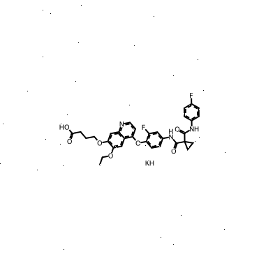 CCOc1cc2c(Oc3ccc(NC(=O)C4(C(=O)Nc5ccc(F)cc5)CC4)cc3F)ccnc2cc1OCCCC(=O)O.[KH]